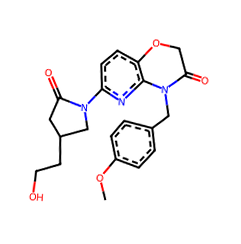 COc1ccc(CN2C(=O)COc3ccc(N4CC(CCO)CC4=O)nc32)cc1